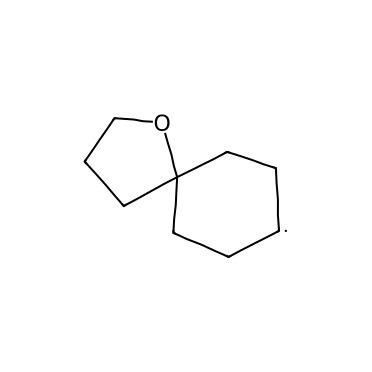 [CH]1CCC2(CC1)CCCO2